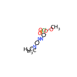 CCN(CC)c1ccc(/N=N/c2ccc(OCCOC)c(S(=O)(=O)Cl)c2)cc1